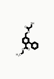 CCOC(=O)c1ccc(COC(=O)CS)cc1-c1ccccc1